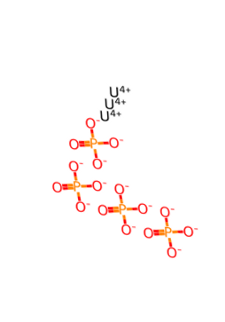 O=P([O-])([O-])[O-].O=P([O-])([O-])[O-].O=P([O-])([O-])[O-].O=P([O-])([O-])[O-].[U+4].[U+4].[U+4]